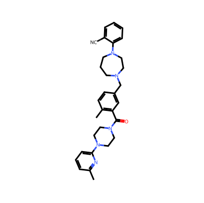 Cc1cccc(N2CCN(C(=O)c3cc(CN4CCCN(c5ccccc5C#N)CC4)ccc3C)CC2)n1